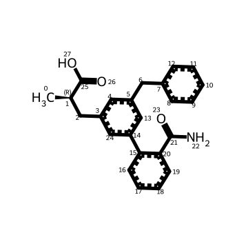 C[C@H](Cc1cc(Cc2ccccc2)cc(-c2ccccc2C(N)=O)c1)C(=O)O